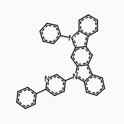 c1ccc(-c2ccc(-n3c4ccccc4c4cc5c6ccccc6n(-c6ccccc6)c5cc43)cn2)cc1